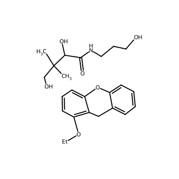 CC(C)(CO)C(O)C(=O)NCCCO.CCOc1cccc2c1Cc1ccccc1O2